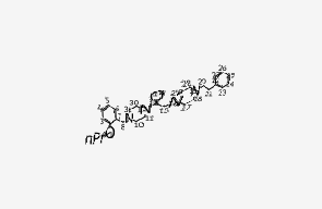 CCCOc1ccccc1CN1CCN(C(=O)CN2CCN(CCc3ccccc3)CC2)CC1